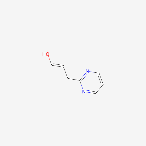 OC=CCc1ncccn1